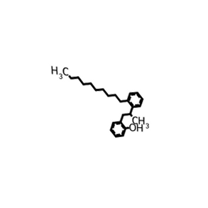 CCCCCCCCCCc1ccccc1C(C)Cc1ccccc1O